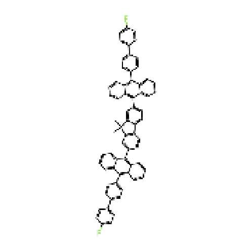 CC1(C)c2cc(-c3c4ccccc4c(-c4ccc(-c5ccc(F)cc5)cc4)c4ccccc34)ccc2-c2ccc(-c3c4ccccc4c(-c4ccc(-c5ccc(F)cc5)cc4)c4ccccc34)cc21